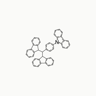 c1ccc2c(c1)-c1ccccc1C2C(c1ccc(-n2c3ccccc3c3ccccc32)cc1)C1c2ccccc2-c2ccccc21